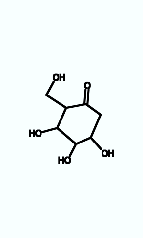 O=C1CC(O)C(O)C(O)C1CO